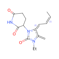 C=c1/c(=C\C=C/C)n(C2CCC(=O)NC2=O)c(=O)n1CC